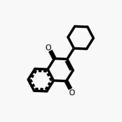 O=C1C=C(C2CCCCC2)C(=O)c2ccccc21